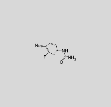 N#Cc1ccc(NC(N)=O)cc1F